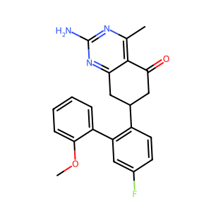 COc1ccccc1-c1cc(F)ccc1C1CC(=O)c2c(C)nc(N)nc2C1